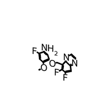 COc1cc(F)c(N)cc1OCc1c(F)c(F)cc2nccnc12